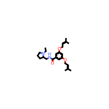 CCN1CCCC1CNC(=O)c1cc(OCC=C(C)C)cc(OCC=C(C)C)c1